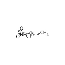 CC#CCn1ccc2c(CC3NC(=O)SC3=O)cccc21